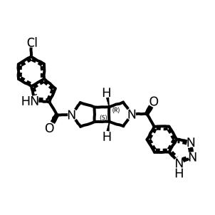 O=C(c1ccc2[nH]nnc2c1)N1C[C@@H]2C3CN(C(=O)c4cc5cc(Cl)ccc5[nH]4)CC3[C@@H]2C1